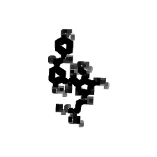 C=C/N=C1/C(N)=NC(NCCN(C)C)=N/C1=C(/N)Nc1cc(C(=O)Nc2ccc(C(F)(F)F)cc2)ccc1C